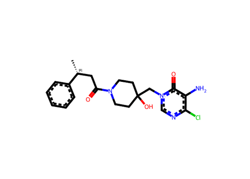 C[C@H](CC(=O)N1CCC(O)(Cn2cnc(Cl)c(N)c2=O)CC1)c1ccccc1